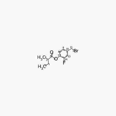 CCC(C)C(=O)Oc1ccc(CBr)cc1F